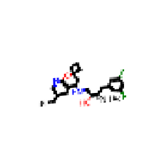 CC(=O)N[C@@H](Cc1cc(F)cc(Cl)c1)[C@@H](O)CN[C@H]1CC2(CCC2)Oc2ncc(CC(C)C)cc21